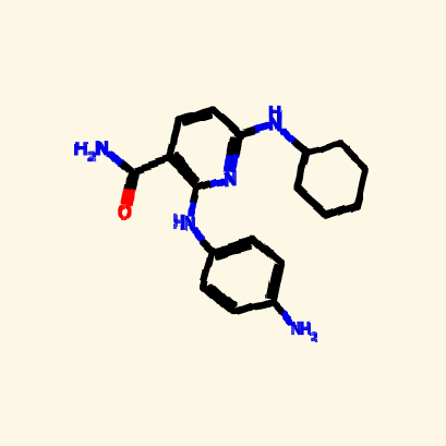 NC(=O)c1ccc(NC2CCCCC2)nc1Nc1ccc(N)cc1